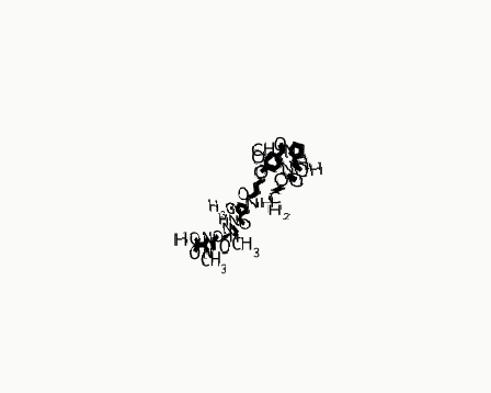 C=CCOC(=O)N1c2cc(OCCCC(=O)Nc3cc(C(=O)Nc4cn(C)c(C(=O)Oc5cn(C)c(C(=O)O)n5)n4)n(C)c3)c(OC)cc2C(=O)N2CCC[C@H]2C1O